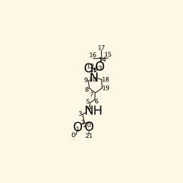 COC(CNCCC1CCN(C(=O)OC(C)(C)C)CC1)OC